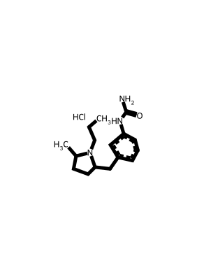 CCCN1C(C)CCC1Cc1cccc(NC(N)=O)c1.Cl